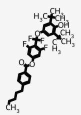 CCCCCc1ccc(C(=O)Oc2cc(F)c(C(F)(F)Oc3cc(C(C)(C)C)c(O)c(C(C)(C)C)c3)c(F)c2)cc1